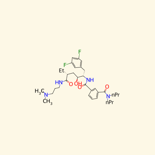 CCCN(CCC)C(=O)c1cccc(C(=O)N[C@@H](Cc2cc(F)cc(F)c2)[C@@H](O)C[C@@H](CC)C(=O)NCCCN(C)C)c1